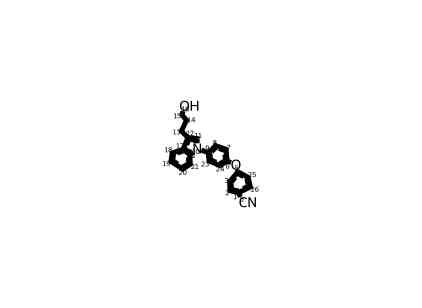 N#Cc1ccc(Oc2ccc(-n3cc(CCCO)c4ccccc43)cc2)cc1